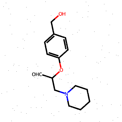 O=CC(CN1CCCCC1)Oc1ccc(CO)cc1